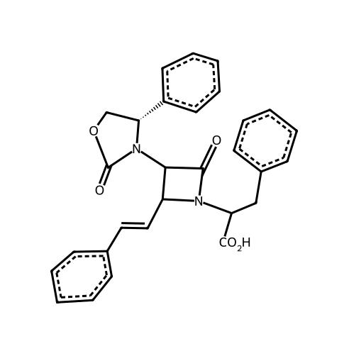 O=C(O)C(Cc1ccccc1)N1C(=O)C(N2C(=O)OC[C@@H]2c2ccccc2)C1C=Cc1ccccc1